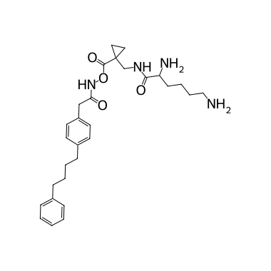 NCCCCC(N)C(=O)NCC1(C(=O)ONC(=O)Cc2ccc(CCCCc3ccccc3)cc2)CC1